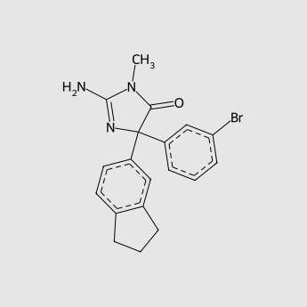 CN1C(=O)C(c2cccc(Br)c2)(c2ccc3c(c2)CCC3)N=C1N